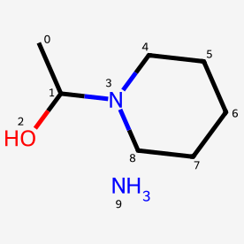 CC(O)N1CCCCC1.N